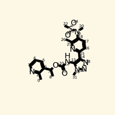 Cc1ncccc1C(C)OC(=O)Nc1c(-c2ccc(N(C)S(C)(=O)=O)c(C)n2)nnn1C